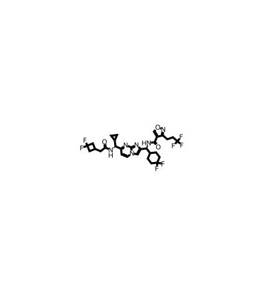 O=C(CC1CC(F)(F)C1)N[C@@H](c1ccn2cc([C@@H](NC(=O)c3conc3CCC(F)(F)F)C3CCC(F)(F)CC3)nc2n1)C1CC1